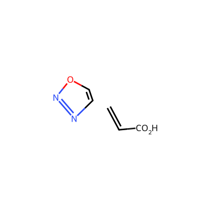 C=CC(=O)O.c1conn1